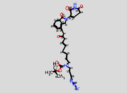 CC(C)(C)OC(=O)N(CCCCCCCC(=O)Cc1cccc2c1CN(C1CCC(=O)NC1=O)C2=O)CCCN=[N+]=[N-]